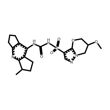 COC1COc2c(S(=O)(=O)NC(=O)Nc3c4c(nc5c3CCC5C)CCC4)cnn2C1